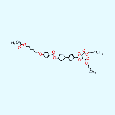 C=CC(=O)OCCCCCCOc1ccc(C(=O)OC2CCC(c3ccc(C4O[C@@H](C(=O)OCCCC)[C@H](C(=O)OCCCC)O4)cc3)CC2)cc1